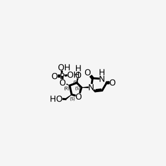 O=c1ccn([C@H]2O[C@@H](CO)[C@H](OP(=O)(O)O)[C@H]2O)c(=O)[nH]1